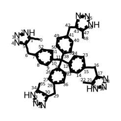 Cc1[nH]nnc1Cc1ccc(C(c2ccc(Cc3nn[nH]c3C)cc2)(c2ccc(Cc3nn[nH]c3C)cc2)c2ccc(Cc3nn[nH]c3C)cc2)cc1